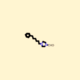 O=[C]N1CCN(CCCCCCc2ccccc2)CC1